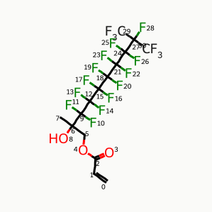 C=CC(=O)OCC(C)(O)C(F)(F)C(F)(F)C(F)(F)C(F)(F)C(F)(F)C(F)(F)C(F)(C(F)(F)F)C(F)(F)F